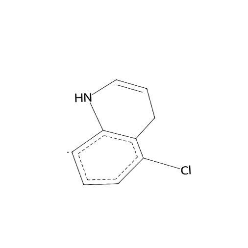 Clc1cc[c]c2c1CC=CN2